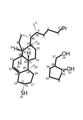 CC(C)CCC[C@@H](C)[C@H]1CC[C@H]2[C@@H]3CC=C4C[C@@H](S)CC[C@]4(C)[C@H]3CC[C@]12C.OCC1CCCN1O